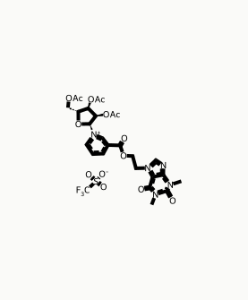 CC(=O)OC[C@H]1O[C@@H]([n+]2cccc(C(=O)OCCn3cnc4c3c(=O)n(C)c(=O)n4C)c2)[C@H](OC(C)=O)[C@@H]1OC(C)=O.O=S(=O)([O-])C(F)(F)F